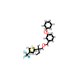 CCC(C)(COCc1cccc(Oc2ccccc2)c1)c1cc(C(F)(F)F)cs1